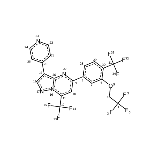 FC(F)(F)COc1cc(-c2cc(C(F)(F)F)n3ncc(-c4ccncc4)c3n2)ccc1C(F)(F)F